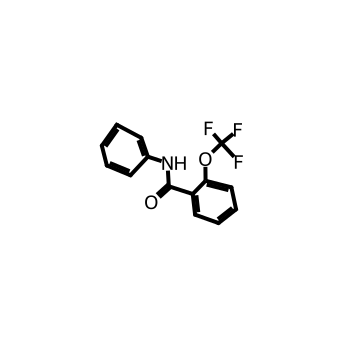 O=C(Nc1ccccc1)c1ccccc1OC(F)(F)F